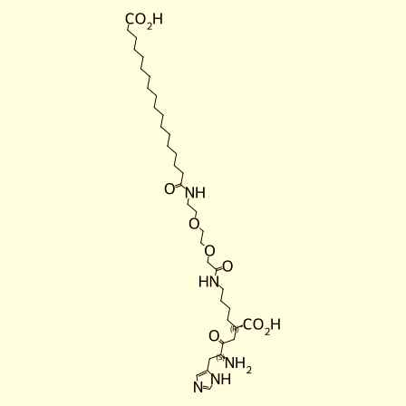 N[C@@H](Cc1cnc[nH]1)C(=O)C[C@@H](CCCCNC(=O)COCCOCCNC(=O)CCCCCCCCCCCCCCCCC(=O)O)C(=O)O